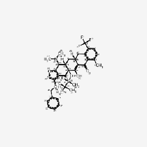 Cc1ccc(C(F)(F)F)c2c1C(=O)C1=C(O)[C@]3(O[Si](C)(C)C(C)(C)C)C(=O)c4c(OCc5ccccc5)noc4[C@@H](N(C)C)[C@@H]3C[C@@H]1C2